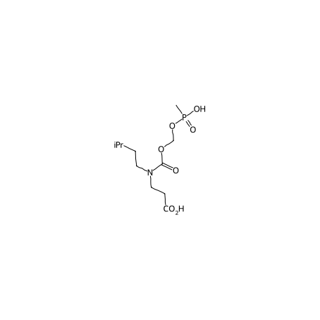 CC(C)CCN(CCC(=O)O)C(=O)OCOP(C)(=O)O